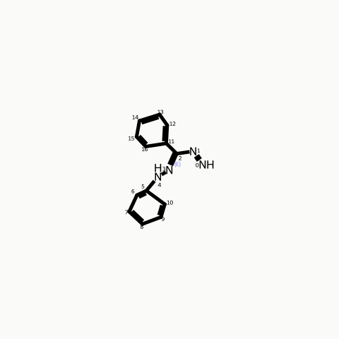 N=N/C(=N/Nc1ccccc1)c1ccccc1